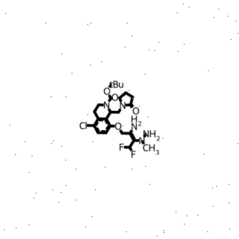 CN(N)/C(=C(\N)COc1ccc(Cl)c2c1C(CN1CCCC1=O)N(C(=O)OC(C)(C)C)CC2)C(F)F